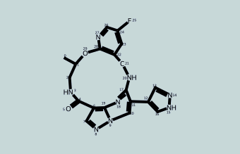 CC1CNC(=O)c2cnn3cc(-c4cn[nH]c4)c(nc23)NCc2cc(F)cnc2O1